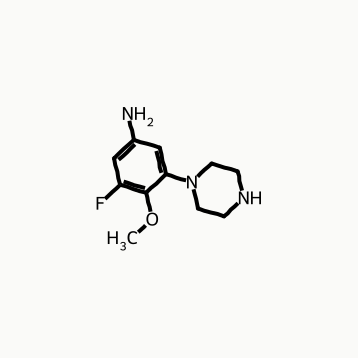 COc1c(F)cc(N)cc1N1CCNCC1